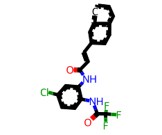 O=C(/C=C/c1ccc2ccccc2c1)Nc1cc(Cl)ccc1NC(=O)C(F)(F)F